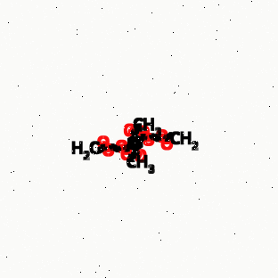 C=CC(=O)OCCOC(=O)c1cc(C(=O)CC)c(C(=O)OCCOC(=O)C=C)cc1C(=O)CC